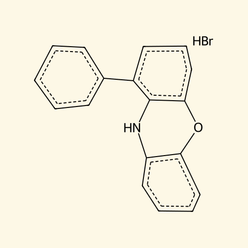 Br.c1ccc(-c2cccc3c2Nc2ccccc2O3)cc1